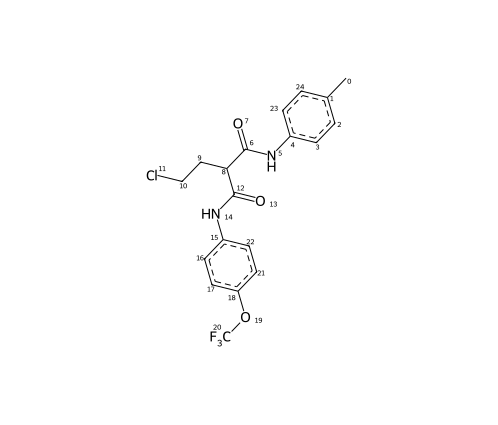 Cc1ccc(NC(=O)C(CCCl)C(=O)Nc2ccc(OC(F)(F)F)cc2)cc1